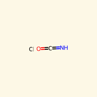 N=C=O.[C]